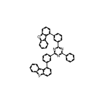 c1ccc(-c2nc(-c3cccc(-c4cccc5oc6ccccc6c45)c3)nc(-c3cccc(-c4cccc5sc6ccccc6c45)c3)n2)cc1